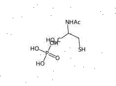 CC(=O)NC(CS)C(=O)O.O=P(O)(O)O